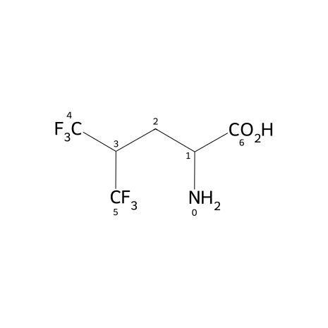 NC(CC(C(F)(F)F)C(F)(F)F)C(=O)O